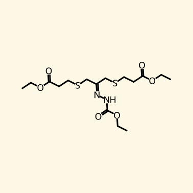 CCOC(=O)CCSCC(CSCCC(=O)OCC)=NNC(=O)OCC